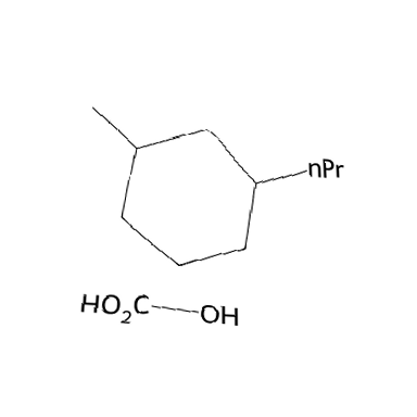 CCCC1CCCC(C)C1.O=C(O)O